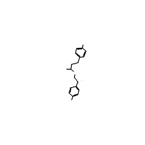 CC(CCc1ccc(O)cc1)NC[C@H](O)c1ccc(O)cc1.Cl